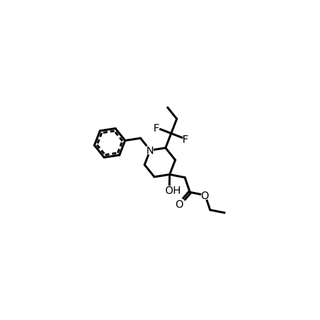 CCOC(=O)CC1(O)CCN(Cc2ccccc2)C(C(F)(F)CC)C1